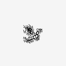 [2H]C([2H])([2H])Oc1cc2c(cc1OC)C1([2H])CC(OC(=O)[C@@]([2H])(N)C([2H])(C([2H])([2H])[2H])C([2H])([2H])[2H])C(C([2H])([2H])C([2H])(C)C([2H])([2H])[2H])CN1C([2H])([2H])C2([2H])[2H]